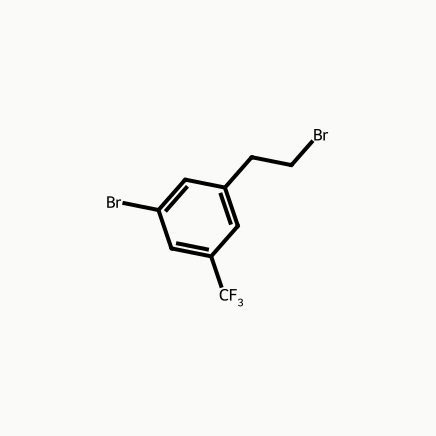 FC(F)(F)c1cc(Br)cc(CCBr)c1